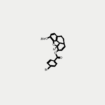 COc1ccc2c3c1O[C@H]1C(OC(=O)c4ccc(Br)cc4)C=CC(CC2)C31